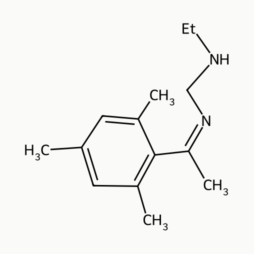 CCNC/N=C(/C)c1c(C)cc(C)cc1C